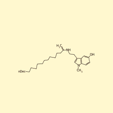 C=C(CCCCCCCCCCCCCCCCCCCCC)NCCc1cn(C)c2ccc(O)cc12